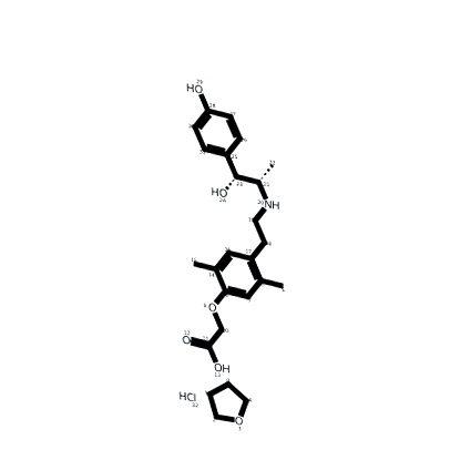 C1CCOC1.Cc1cc(OCC(=O)O)c(C)cc1CCN[C@@H](C)[C@H](O)c1ccc(O)cc1.Cl